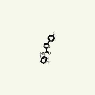 O=C(N[C@@H]1C[C@H]2CC[C@@H]1N2)c1ncc(-c2ccc(Cl)cc2)s1